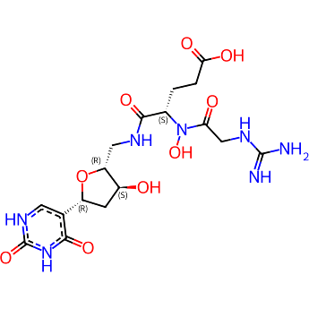 N=C(N)NCC(=O)N(O)[C@@H](CCC(=O)O)C(=O)NC[C@H]1O[C@@H](c2c[nH]c(=O)[nH]c2=O)C[C@@H]1O